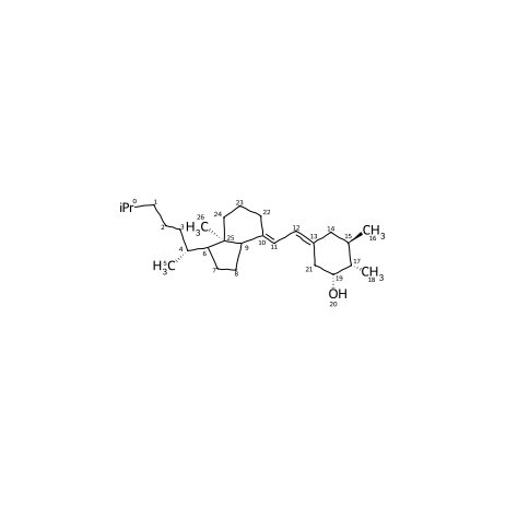 CC(C)CCC[C@@H](C)C1CCC2/C(=C/C=C3/C[C@@H](C)[C@H](C)[C@H](O)C3)CCC[C@@]21C